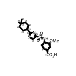 COc1cc(C(=O)O)ccc1NS(=O)(=O)c1csc(C2=CCC(C)(C)CC2)n1